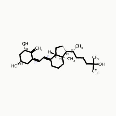 C=C1/C(=C\C=C2/CCC[C@]3(C)[C@@H]([C@H](C)CCCC(O)(C(F)(F)F)C(F)(F)F)CC[C@@H]23)C[C@@H](O)C[C@@H]1O